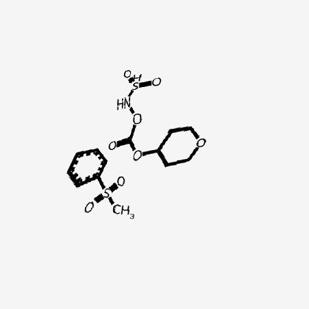 CS(=O)(=O)c1ccccc1.O=C(ON[SH](=O)=O)OC1CCOCC1